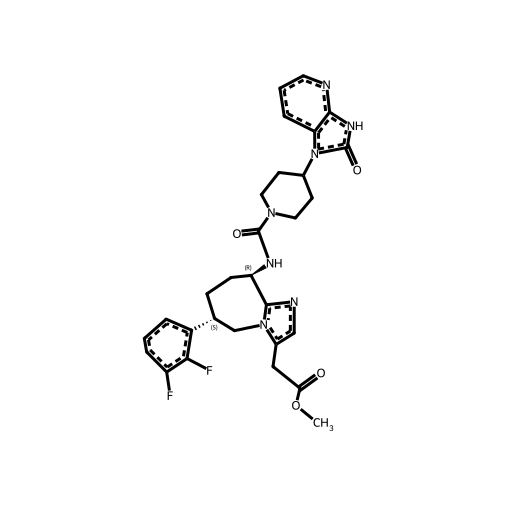 COC(=O)Cc1cnc2n1C[C@H](c1cccc(F)c1F)CC[C@H]2NC(=O)N1CCC(n2c(=O)[nH]c3ncccc32)CC1